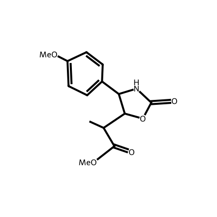 COC(=O)C(C)C1OC(=O)NC1c1ccc(OC)cc1